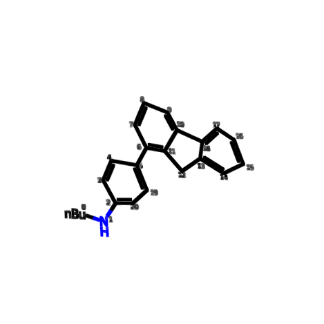 CCCCNc1ccc(-c2cccc3c2Cc2ccccc2-3)cc1